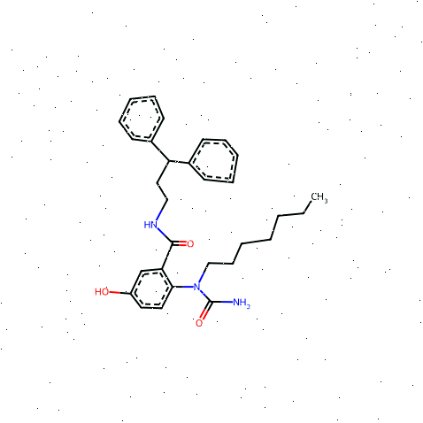 CCCCCCCN(C(N)=O)c1ccc(O)cc1C(=O)NCCC(c1ccccc1)c1ccccc1